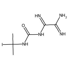 CC(C)(I)NC(=O)NC(=N)C(=N)N